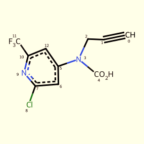 C#CCN(C(=O)O)c1cc(Cl)nc(C(F)(F)F)c1